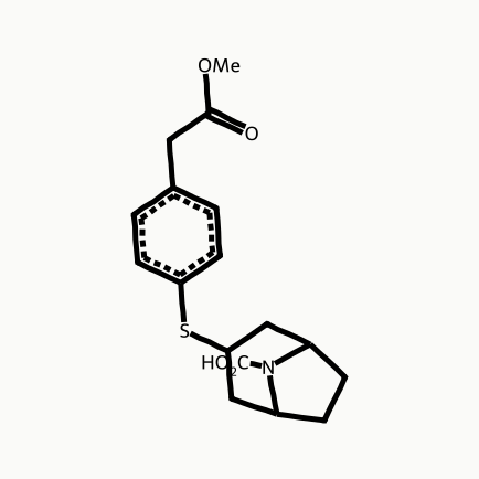 COC(=O)Cc1ccc(SC2CC3CCC(C2)N3C(=O)O)cc1